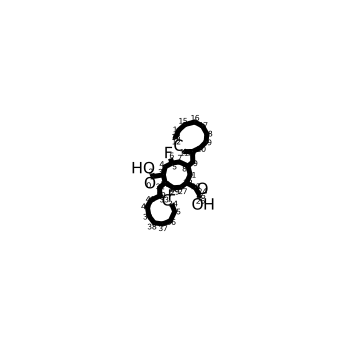 O=C(O)C1CC(F)CC(CC2CCCCCCCCCC2)CC(C2OC2O)CC(F)C1CC1CCCCCCCCC1